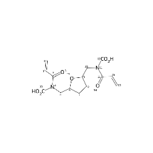 C=CC(=O)N(CC1CCC(CN(C(=O)O)C(=O)C=C)O1)C(=O)O